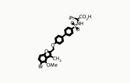 COc1c(Br)ccc2oc(COc3ccc(-c4ccc(S(=O)(=O)N[C@H](C(=O)O)C(C)C)cc4)cc3)c(C)c12